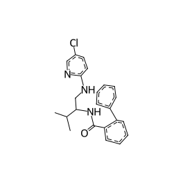 CC(C)C(CNc1ccc(Cl)cn1)NC(=O)c1ccccc1-c1ccccc1